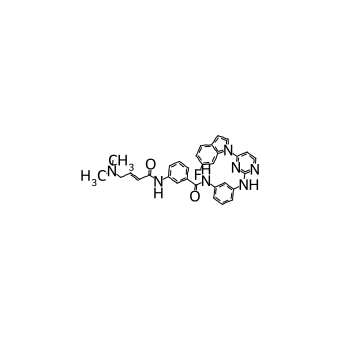 CN(C)CC=CC(=O)Nc1cccc(C(=O)Nc2cccc(Nc3nccc(-n4ccc5ccc(F)cc54)n3)c2)c1